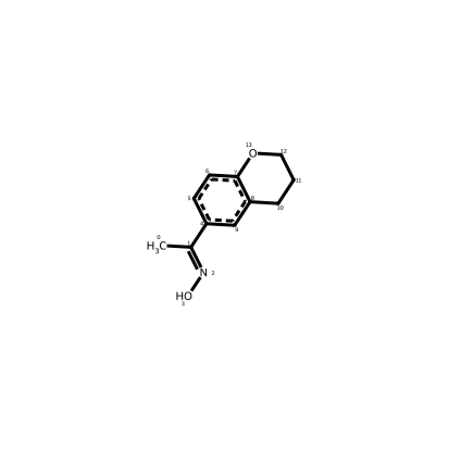 CC(=NO)c1ccc2c(c1)CCCO2